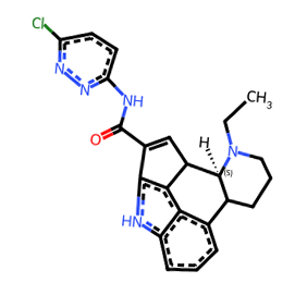 CCN1CCCC2c3cccc4[nH]c5c(c34)C(C=C5C(=O)Nc3ccc(Cl)nn3)[C@H]21